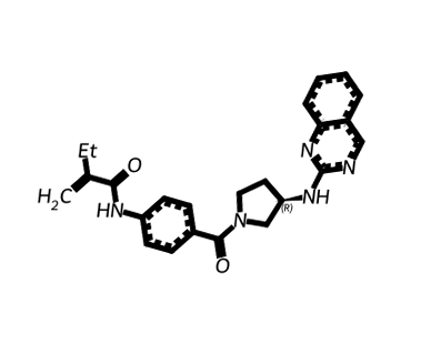 C=C(CC)C(=O)Nc1ccc(C(=O)N2CC[C@@H](Nc3ncc4ccccc4n3)C2)cc1